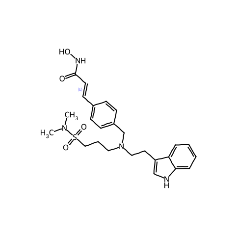 CN(C)S(=O)(=O)CCCN(CCc1c[nH]c2ccccc12)Cc1ccc(/C=C/C(=O)NO)cc1